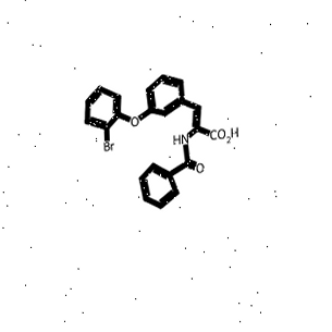 O=C(O)C(=Cc1cccc(Oc2ccccc2Br)c1)NC(=O)c1ccccc1